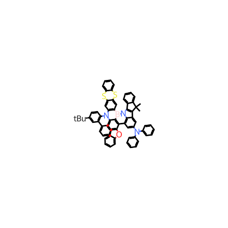 CC(C)(C)c1ccc(N2c3cc4c(cc3B3c5c2cc2c(oc6ccccc62)c5-c2cc(N(c5ccccc5)c5ccccc5)cc5c6c(n3c25)-c2ccccc2C6(C)C)Sc2ccccc2S4)c(-c2ccccc2)c1